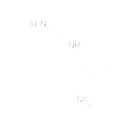 NCCNCc1ccccc1CN